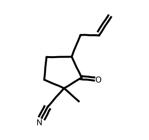 C=CCC1CCC(C)(C#N)C1=O